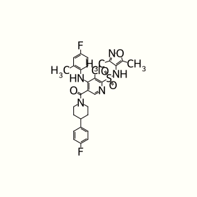 Cc1cc(F)ccc1Nc1c(C(=O)N2CCC(c3ccc(F)cc3)CC2)cnc(S(=O)(=O)Nc2c(C)noc2C)c1Cl